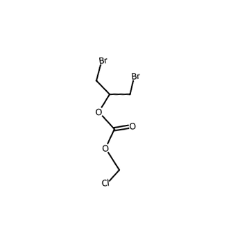 O=C(OCCl)OC(CBr)CBr